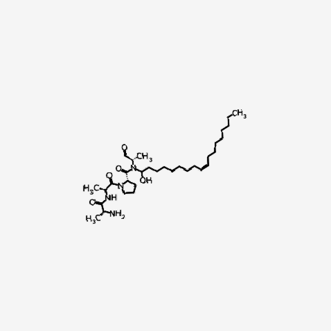 CCCCCCCC/C=C\CCCCCCCC(O)N(C(=O)[C@@H]1CCCN1C(=O)[C@H](C)NC(=O)[C@H](C)N)[C@@H](C)C=O